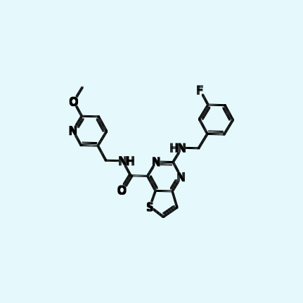 COc1ccc(CNC(=O)c2nc(NCc3cccc(F)c3)nc3ccsc23)cn1